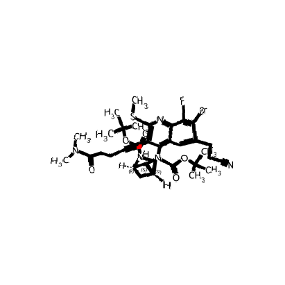 CSc1nc2c(F)c(Br)c(CCC#N)cc2c(N(C(=O)OC(C)(C)C)[C@H]2[C@H]3C[C@H]2N(C(=O)OC(C)(C)C)C3)c1C#CCCC(=O)N(C)C